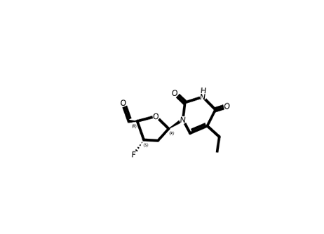 CCc1cn([C@H]2C[C@H](F)[C@@H](C=O)O2)c(=O)[nH]c1=O